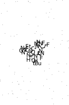 CCc1nonc1C(=O)N[C@@H](COC(C)(C)C)C(=O)Nc1cn(C(CC(F)F)c2nnnn2CC(F)(F)F)nc1F